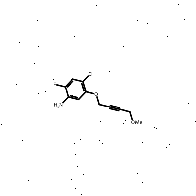 COCC#CCOc1cc(N)c(F)cc1Cl